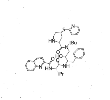 CC(C)[C@H](NC(=O)c1ccc2ccccc2n1)C(=O)N[C@@H](Cc1ccccc1)[C@H](O)CN(C(=O)C1C[C@H](Sc2ccccn2)CCN1)C(C)(C)C